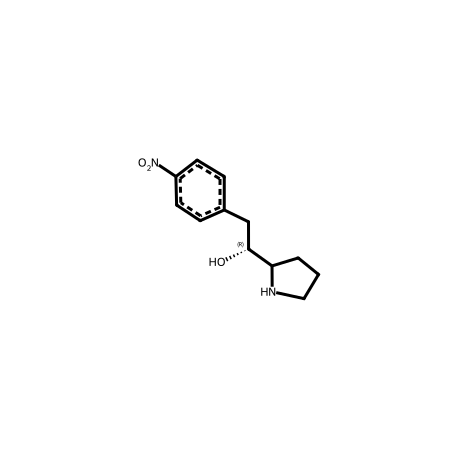 O=[N+]([O-])c1ccc(C[C@@H](O)C2CCCN2)cc1